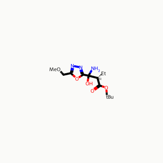 CC[C@H](C(=O)OC(C)(C)C)C(N)(O)c1nnc(COC)o1